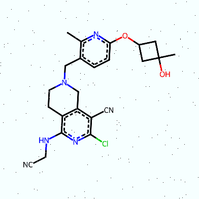 Cc1nc(OC2CC(C)(O)C2)ccc1CN1CCc2c(NCC#N)nc(Cl)c(C#N)c2C1